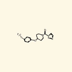 O=C(N1CCC(Oc2ccc(OC(F)(F)F)cc2)CC1)n1ccnn1